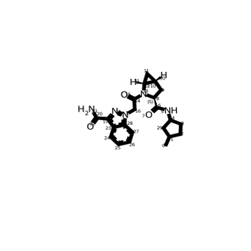 CC1CCC(NC(=O)[C@@H]2C[C@H]3C[C@H]3N2C(=O)Cn2nc(C(N)=O)c3ccccc32)C1